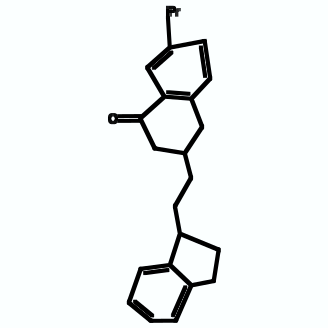 CC(C)c1ccc2c(c1)C(=O)CC(CCC1CCc3ccccc31)C2